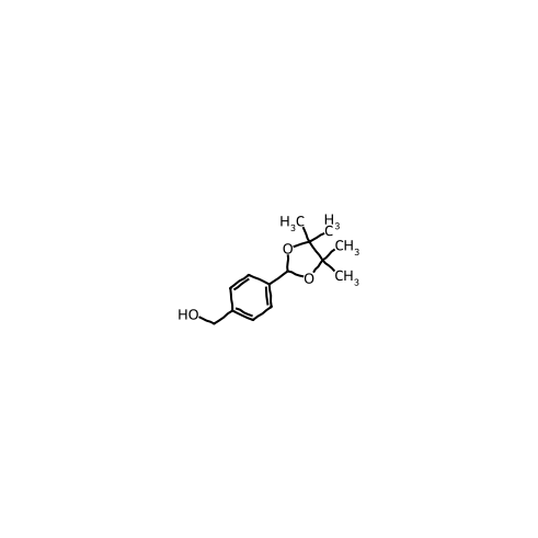 CC1(C)OC(c2ccc(CO)cc2)OC1(C)C